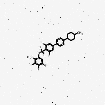 Cc1c(OC(F)(F)c2c(F)cc(-c3ccc(C4CCC(C)CC4)cc3)cc2F)cc(F)c(F)c1F